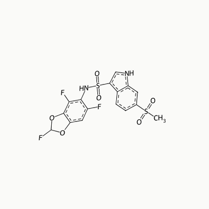 CS(=O)(=O)c1ccc2c(S(=O)(=O)Nc3c(F)cc4c(c3F)OC(F)O4)c[nH]c2c1